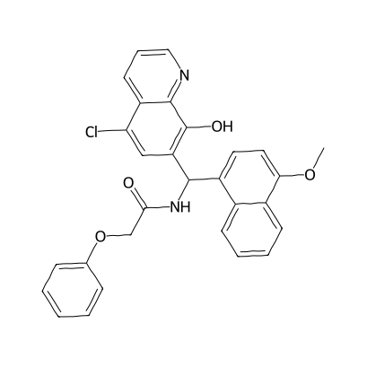 COc1ccc(C(NC(=O)COc2ccccc2)c2cc(Cl)c3cccnc3c2O)c2ccccc12